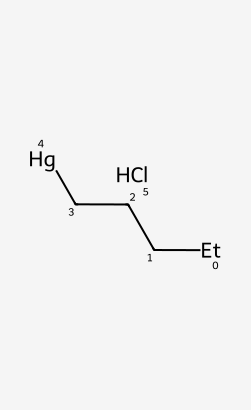 CCCC[CH2][Hg].Cl